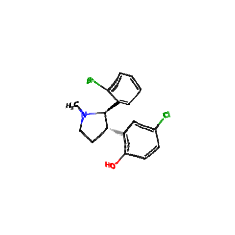 CN1CC[C@@H](c2cc(Cl)ccc2O)[C@@H]1c1ccccc1Br